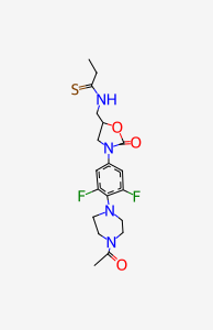 CCC(=S)NCC1CN(c2cc(F)c(N3CCN(C(C)=O)CC3)c(F)c2)C(=O)O1